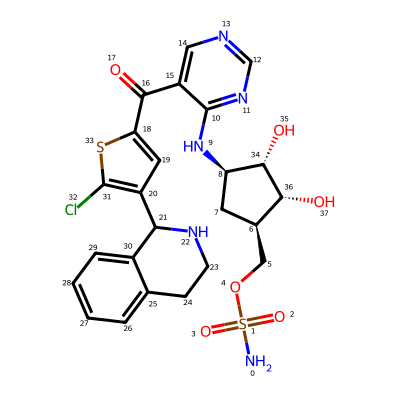 NS(=O)(=O)OC[C@H]1C[C@@H](Nc2ncncc2C(=O)c2cc(C3NCCc4ccccc43)c(Cl)s2)[C@H](O)[C@@H]1O